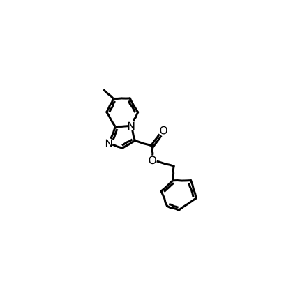 Cc1ccn2c(C(=O)OCc3ccccc3)cnc2c1